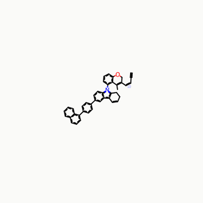 C#C/C=C\C1=C(C)c2c(cccc2-n2c3c(c4cc(-c5ccc(-c6cccc7ccccc67)cc5)ccc42)C=CCC3)OC1